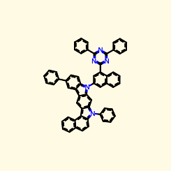 c1ccc(-c2ccc3c(c2)c2cc4c5c6ccccc6ccc5n(-c5ccccc5)c4cc2n3-c2cc(-c3nc(-c4ccccc4)nc(-c4ccccc4)n3)c3ccccc3c2)cc1